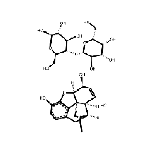 CN1CC[C@]23c4c5ccc(O)c4O[C@H]2[C@@H](O)C=C[C@H]3[C@H]1C5.Cl.OC[C@H]1O[C@@H](O[C@H]2[C@H](O)[C@@H](O)[C@H](O)O[C@@H]2CO)[C@H](O)[C@@H](O)[C@H]1O